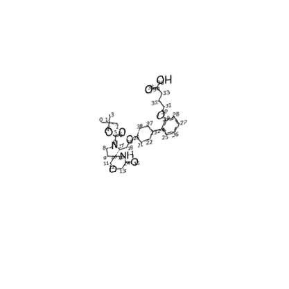 CC(C)(C)OC(=O)N1CCC2(COCC(=O)N2)C1COC1CCC(c2ccccc2OCCCC(=O)O)CC1